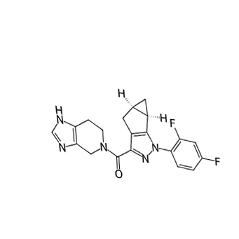 O=C(c1nn(-c2ccc(F)cc2F)c2c1C[C@H]1C[C@@H]21)N1CCc2[nH]cnc2C1